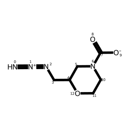 N=[N+]=NCC1CN(C(=O)[O-])CCO1